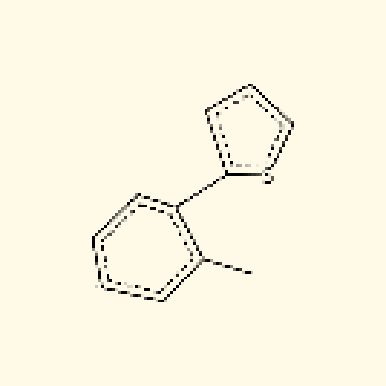 Cc1c[c]ccc1-c1cccs1